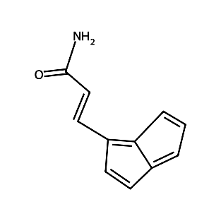 NC(=O)C=CC1=C2C=CC=C2C=C1